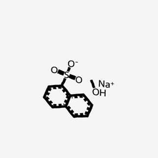 CO.O=S(=O)([O-])c1cccc2ccccc12.[Na+]